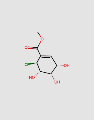 COC(=O)C1=C[C@H](O)[C@H](O)[C@H](O)[C@H]1Cl